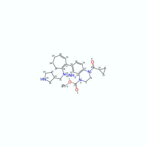 CC(C)OC(=O)N1CCN(C(=O)C2CC2)c2ccc(C3=C(N(N)CC4CCNC4)CCCC=C3)cc21